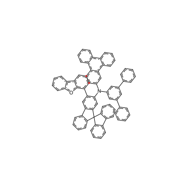 c1ccc(-c2cc(-c3ccccc3)cc(N(c3ccc4c5ccccc5c5ccccc5c4c3)c3cc4c(cc3-c3cccc5c3oc3ccccc35)-c3ccccc3C43c4ccccc4-c4ccccc43)c2)cc1